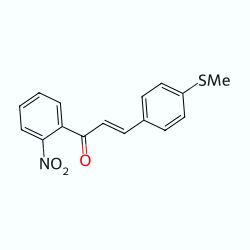 CSc1ccc(/C=C/C(=O)c2ccccc2[N+](=O)[O-])cc1